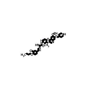 CCCCOC1=C(Cl)CC(CCNC(=N)C(=O)NC/C=C\C(Oc2ccnc3cc(OCC4CCNCC4)c(OC)cc23)C(F)CC)C=C1